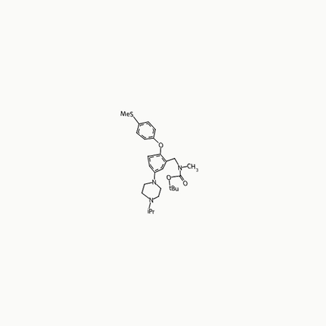 CSc1ccc(Oc2ccc(N3CCN(C(C)C)CC3)cc2CN(C)C(=O)OC(C)(C)C)cc1